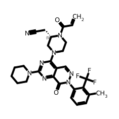 C=CC(=O)N1CCN(c2nc(N3CCCCC3)nc3c(=O)n(-c4cccc(C)c4C(F)(F)F)ncc23)C[C@@H]1CC#N